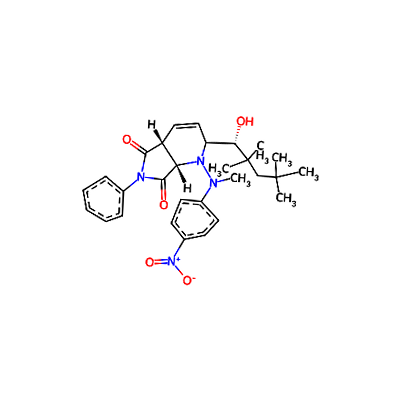 CN(c1ccc([N+](=O)[O-])cc1)N1C([C@H](O)C(C)(C)CC(C)(C)C)C=C[C@H]2C(=O)N(c3ccccc3)C(=O)[C@H]21